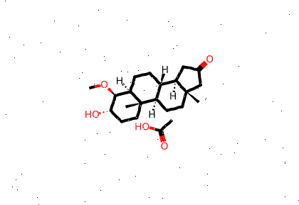 CC(=O)O.CO[C@H]1[C@H]2CC[C@@H]3[C@H]4CC(=O)C[C@]4(C)CC[C@H]3[C@]2(C)CC[C@@H]1O